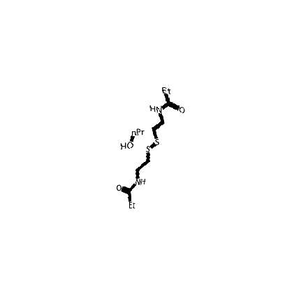 CCC(=O)NCCSSCCNC(=O)CC.CCCO